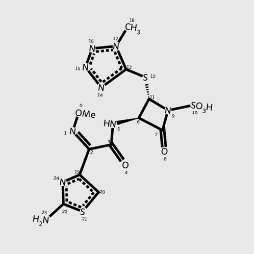 CON=C(C(=O)N[C@@H]1C(=O)N(S(=O)(=O)O)[C@H]1Sc1nnnn1C)c1csc(N)n1